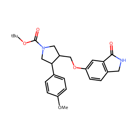 COc1ccc(C2CN(C(=O)OC(C)(C)C)CC2COc2ccc3c(c2)C(=O)NC3)cc1